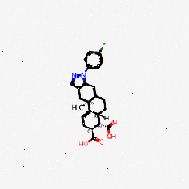 C[C@]12Cc3cnn(-c4ccc(F)cc4)c3C=C1CC[C@H]1C2=CC[C@H](C(=O)O)[C@H]1C(=O)O